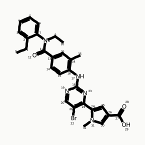 CCc1ccccc1N(CC)C(=O)c1ccc(Nc2ncc(Br)c(-c3cc(C(=O)O)cn3C)n2)c(C)c1